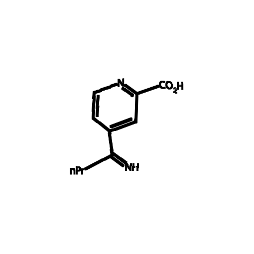 CCCC(=N)c1ccnc(C(=O)O)c1